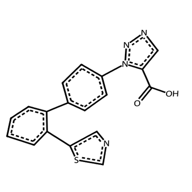 O=C(O)c1cnnn1-c1ccc(-c2ccccc2-c2cncs2)cc1